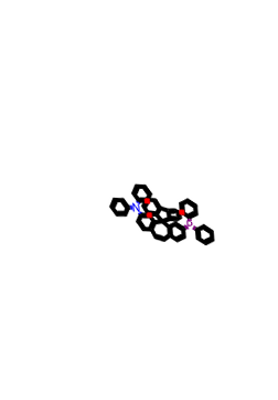 C1=Cc2ccc(P(c3ccccc3)c3ccccc3)cc2C2(c3cc(N(c4ccccc4)c4ccccc4)ccc31)c1ccccc1-c1ccccc12